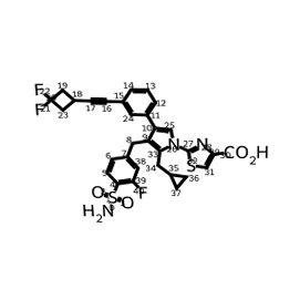 NS(=O)(=O)c1ccc(Cc2c(-c3cccc(C#CC4CC(F)(F)C4)c3)cn(-c3nc(C(=O)O)cs3)c2CC2CC2)cc1F